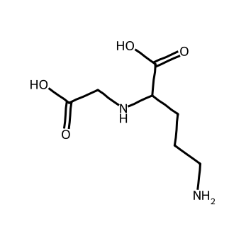 NCCCC(NCC(=O)O)C(=O)O